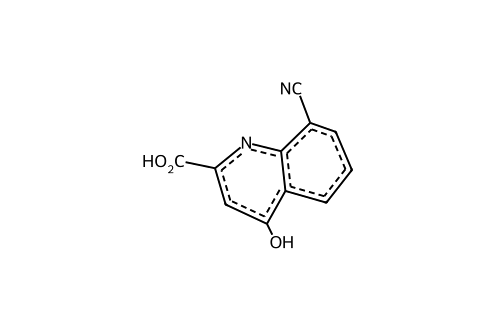 N#Cc1cccc2c(O)cc(C(=O)O)nc12